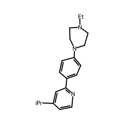 CCN1CCN(c2ccc(-c3cc(C(C)C)ccn3)cc2)CC1